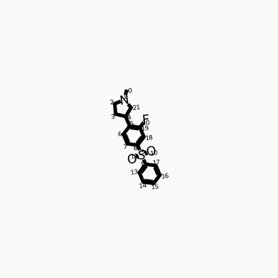 CN1CCC(c2ccc(S(=O)(=O)c3ccccc3)cc2F)C1